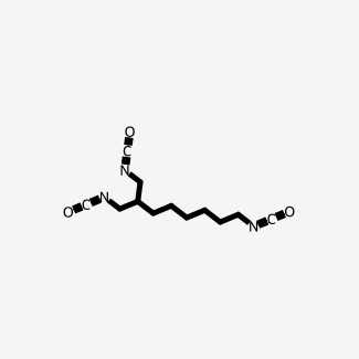 O=C=NCCCCCCC(CN=C=O)CN=C=O